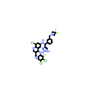 N#Cc1cnc2c(Cl)cc(N[C@@H](c3cccc(CN4CC(F)(F)C4)c3)c3c[nH]nn3)cc2c1Nc1ccc(Cl)c(Cl)c1F